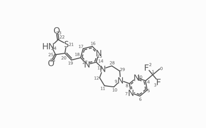 CC(F)(F)c1ccnc(N2CCCN(c3nccc(/C=C4\SC(=O)NC4=O)n3)CC2)n1